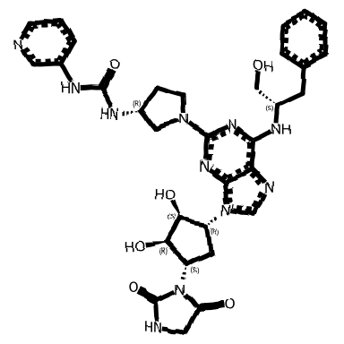 O=C(Nc1cccnc1)N[C@@H]1CCN(c2nc(N[C@H](CO)Cc3ccccc3)c3ncn([C@@H]4C[C@H](N5C(=O)CNC5=O)[C@@H](O)[C@H]4O)c3n2)C1